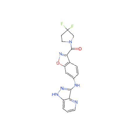 O=C(c1noc2cc(Nc3n[nH]c4cccnc34)ccc12)N1CCC(F)(F)C1